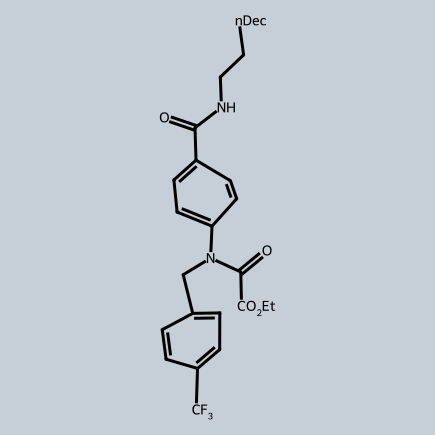 CCCCCCCCCCCCNC(=O)c1ccc(N(Cc2ccc(C(F)(F)F)cc2)C(=O)C(=O)OCC)cc1